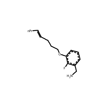 CCCC=CCCCOc1cccc(CN)c1F